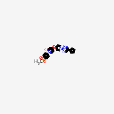 CS(=O)(=O)c1ccc(-n2ccc(OC3CCN(c4ncc(C5CCCC5)cn4)CC3)cc2=O)cc1